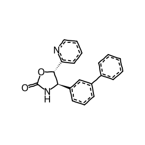 O=C1N[C@H](c2cccc(-c3ccccc3)c2)[C@@H](c2ccccn2)O1